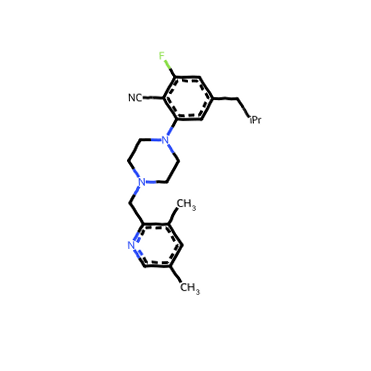 Cc1cnc(CN2CCN(c3cc(CC(C)C)cc(F)c3C#N)CC2)c(C)c1